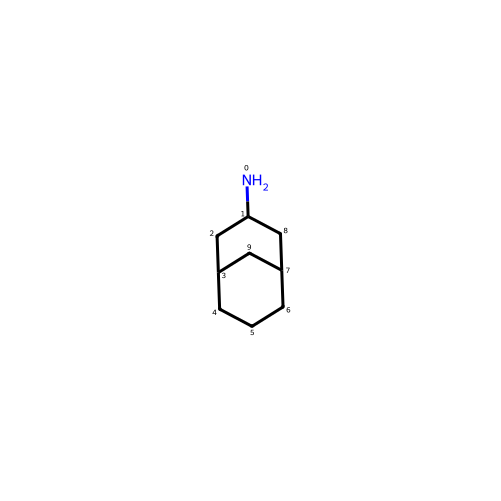 NC1CC2CCCC(C1)C2